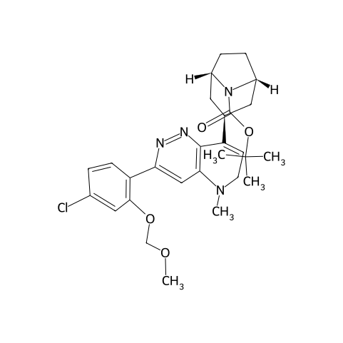 COCOc1cc(Cl)ccc1-c1cc2c(nn1)C([C@@H]1C[C@H]3CC[C@@H](C1)N3C(=O)OC(C)(C)C)=CCN2C